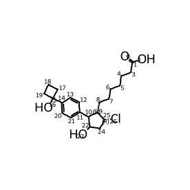 O=C(O)CCCCCC[C@@H]1C(c2ccc(C3(O)CCC3)cc2)C(O)C[C@H]1Cl